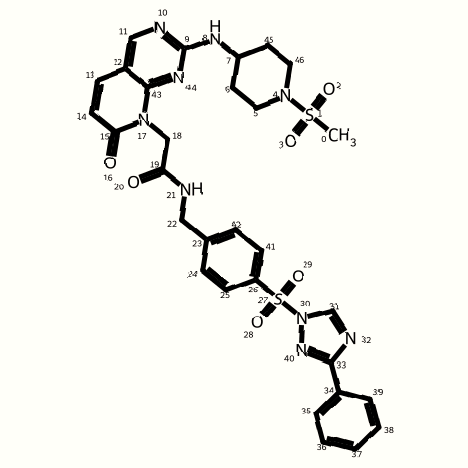 CS(=O)(=O)N1CCC(Nc2ncc3ccc(=O)n(CC(=O)NCc4ccc(S(=O)(=O)n5cnc(-c6ccccc6)n5)cc4)c3n2)CC1